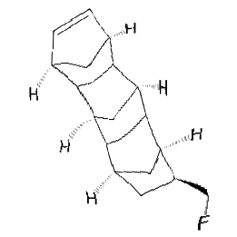 FC[C@H]1C[C@@H]2C[C@H]1C1C2[C@@H]2C[C@H]1C1C2[C@H]2C=C[C@@H]1C2